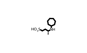 C[C@@H](CCS(=O)(=O)O)NC1CCCCCC1